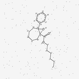 CCCCCCOC(=O)C12CCCCCC1(c1ccccc1)O2